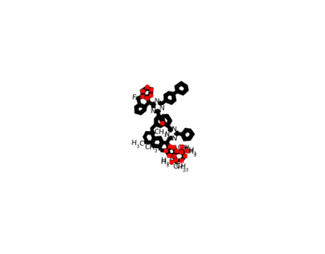 CC1(C)CCC(C)(C)c2cc3c(cc21)C1c2cc4c(cc2C3(c2nc(-c3ccccc3)nc(-c3ccccc3)n2)c2cc3c(cc21)C(C)(C)CCC3(C)Cc1cccc(-c2nc(-c3ccc(-c5ccccc5)cc3)nc(C35c6ccccc6C(F)(c6ccccc63)c3ccccc35)n2)c1)C(C)(C)CCC4(C)C